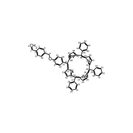 C=Cc1ccc(COc2ccc(-c3c4nc(c(-c5ccccc5)c5ccc([nH]5)c(-c5ccccc5)c5nc(c(-c6ccccc6)c6ccc3[nH]6)C=C5)C=C4)cc2)cc1